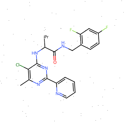 Cc1nc(-c2ccccn2)nc(NC(C(=O)NCc2ccc(F)cc2F)C(C)C)c1Cl